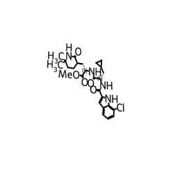 COC(=O)[C@H](CC1CCC(C)(C)NC1=O)NC(=O)[C@H](CC1CC1)NC(=O)c1cc2cccc(Cl)c2[nH]1